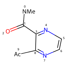 CNC(=O)c1nccnc1C(C)=O